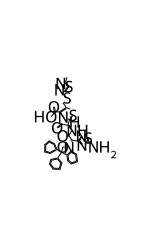 Cc1nnc(SCC2=C(C(=O)O)N3C(=O)C(NC(=O)/C(=N\OC(c4ccccc4)(c4ccccc4)c4ccccc4)c4nsc(N)n4)[C@H]3SC2)s1